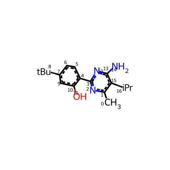 Cc1nc(-c2ccc(C(C)(C)C)cc2O)nc(N)c1C(C)C